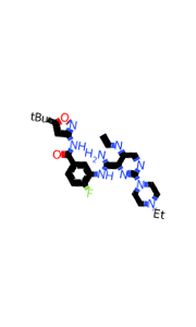 C=C/N=C1/C=NC(N2CCN(CC)CC2)=N/C1=C(/N)Nc1cc(C(=O)Nc2cc(C(C)(C)C)on2)ccc1F